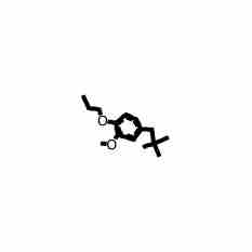 CCCOc1ccc(CC(C)(C)C)cc1OC